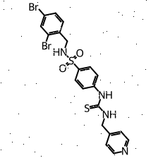 O=S(=O)(NCc1ccc(Br)cc1Br)c1ccc(NC(=S)NCc2ccncc2)cc1